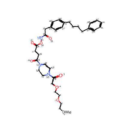 COCCOCCOCC(=O)N1CCN(C(=O)CCC(=O)ONC(=O)Cc2ccc(CCCCc3ccccc3)cc2)CC1